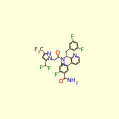 NC(=O)c1cc(-c2cccnc2[C@H](Cc2cc(F)cc(F)c2)NC(=O)Cn2nc(C(F)(F)F)cc2C(F)F)ccc1F